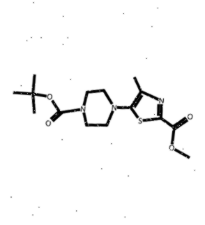 COC(=O)c1nc(C)c(N2CCN(C(=O)OC(C)(C)C)CC2)s1